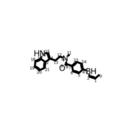 C/C=C\Bc1ccc(C(=O)N(C)CCc2c[nH]c3ccccc23)cc1